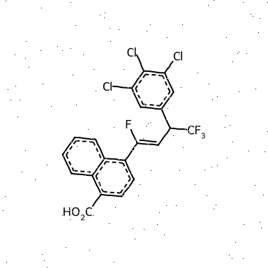 O=C(O)c1ccc(/C(F)=C/C(c2cc(Cl)c(Cl)c(Cl)c2)C(F)(F)F)c2ccccc12